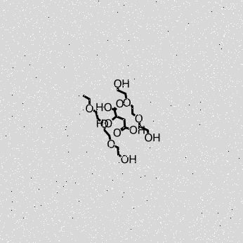 CCOCCOCCOCCO.O=C(O)CC(O)C(=O)O.OCCOCCOCCO